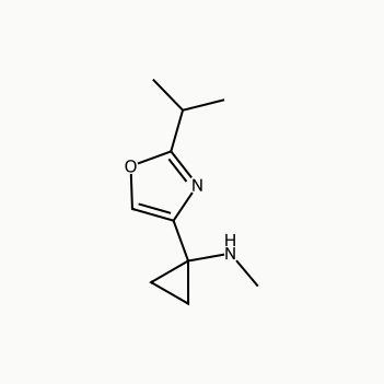 CNC1(c2coc(C(C)C)n2)CC1